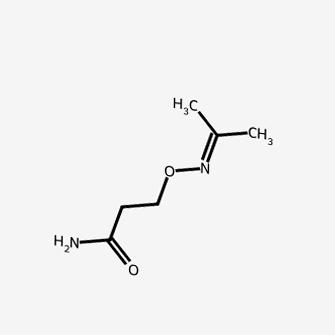 CC(C)=NOCCC(N)=O